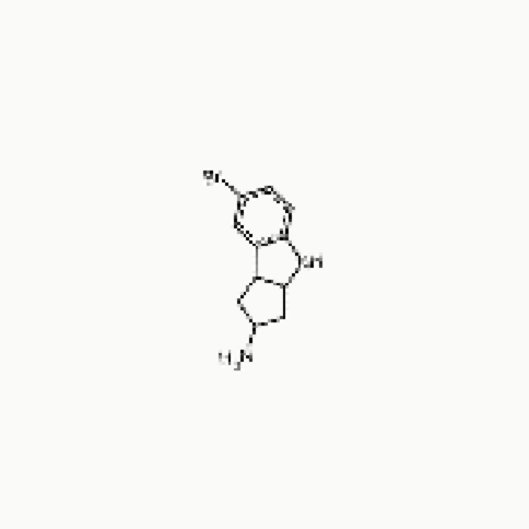 NC1CC2Nc3ccc(Br)cc3C2C1